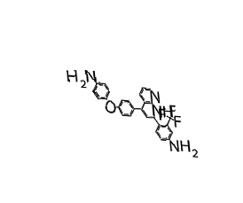 Nc1ccc(Oc2ccc(C3=CC(c4ccc(N)cc4C(F)(F)F)Nc4ncccc43)cc2)cc1